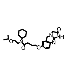 CC(C)OCCN(C(=O)CCCOc1ccc2c(c1)CN1CC(=O)NC1=N2)C1CCCCC1